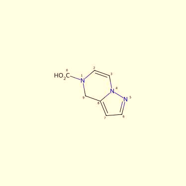 O=C(O)N1C=Cn2nccc2C1